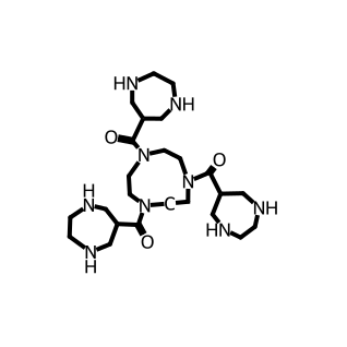 O=C(C1CNCCNC1)N1CCN(C(=O)C2CNCCNC2)CCN(C(=O)C2CNCCNC2)CC1